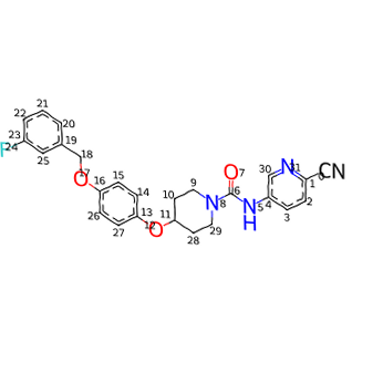 N#Cc1ccc(NC(=O)N2CCC(Oc3ccc(OCc4cccc(F)c4)cc3)CC2)cn1